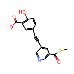 CSC(=O)c1cncc(C#Cc2ccc(O)c(C(=O)O)c2)c1